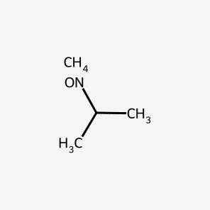 C.CC(C)N=O